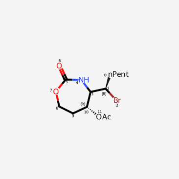 CCCCC[C@@H](Br)C1NC(=O)OCC[C@H]1OC(C)=O